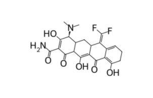 CN(C)[C@@H]1C(O)=C(C(N)=O)C(=O)C2C(O)=C3C(=O)C4=C(O)CCC=C4C(=C(F)F)C3CC21